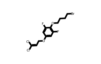 Fc1cc(OCC=C(Cl)Cl)cc(F)c1OCCCCBr